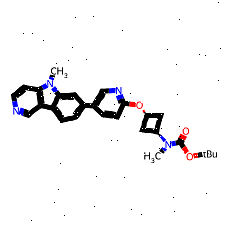 Cn1c2ccncc2c2ccc(-c3ccc(O[C@H]4C[C@H](N(C)C(=O)OC(C)(C)C)C4)nc3)cc21